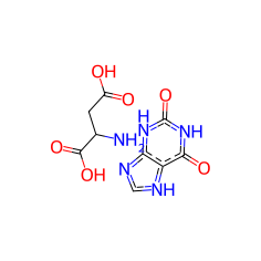 NC(CC(=O)O)C(=O)O.O=c1[nH]c(=O)c2[nH]cnc2[nH]1